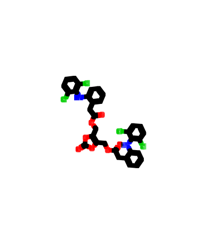 O=C(Cc1ccccc1Nc1c(Cl)cccc1Cl)OCc1oc(=O)oc1COC(=O)Cc1ccccc1Nc1c(Cl)cccc1Cl